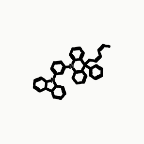 C/C=C\C=C/CC1(c2ccccc2)C2=C(CCC=C2)N(c2cccc(N3C4C=CC=CC4C4C=CC=CC43)c2)c2ccccc21